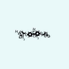 CCC(COc1ccc(C(C)(C)c2ccc(OCC3CSC(=O)O3)cc2)cc1)OC(C)=O